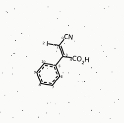 N#CC(I)=C(C(=O)O)c1ccccc1